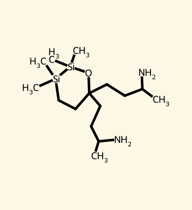 CC(N)CCC1(CCC(C)N)CC[Si](C)(C)[Si](C)(C)O1